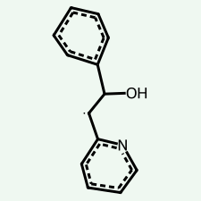 OC([CH]c1ccccn1)c1ccccc1